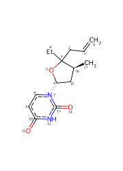 C=CCC1(CC)O[C@@H](n2ccc(=O)[nH]c2=O)C[C@@H]1C